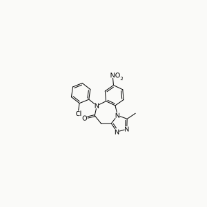 Cc1nnc2n1-c1ccc([N+](=O)[O-])cc1N(c1ccccc1Cl)C(=O)C2